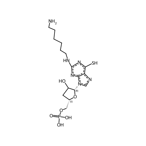 NCCCCCCNc1nc(S)c2ncn([C@@H]3O[C@H](COP(=O)(O)O)CC3O)c2n1